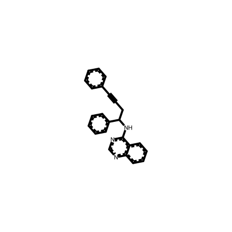 C(#Cc1ccccc1)CC(Nc1ncnc2ccccc12)c1ccccc1